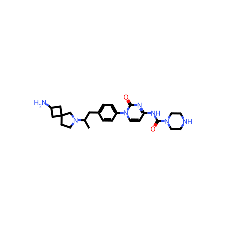 CC(Cc1ccc(-n2ccc(NC(=O)N3CCNCC3)nc2=O)cc1)N1CCC2(CC(N)C2)C1